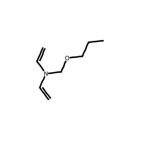 C=CN(C=C)COCCC